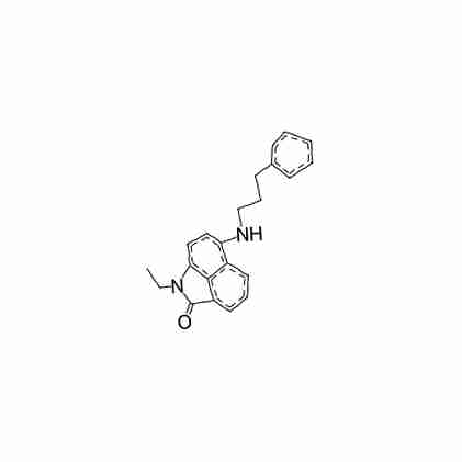 CCN1C(=O)c2cccc3c(NCCCc4ccccc4)ccc1c23